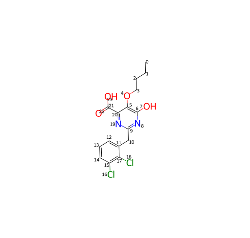 CCCCOc1c(O)nc(Cc2cccc(Cl)c2Cl)nc1C(=O)O